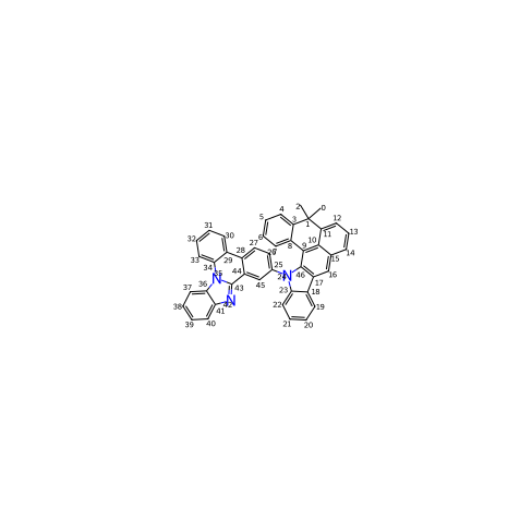 CC1(C)c2ccccc2-c2c3c1cccc3cc1c3ccccc3n(-c3ccc4c5ccccc5n5c6ccccc6nc5c4c3)c21